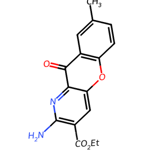 CCOC(=O)c1cc2oc3ccc(C)cc3c(=O)c2nc1N